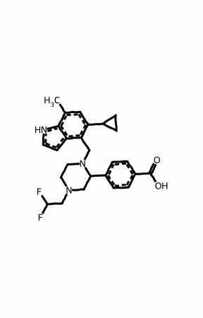 Cc1cc(C2CC2)c(CN2CCN(CC(F)F)CC2c2ccc(C(=O)O)cc2)c2cc[nH]c12